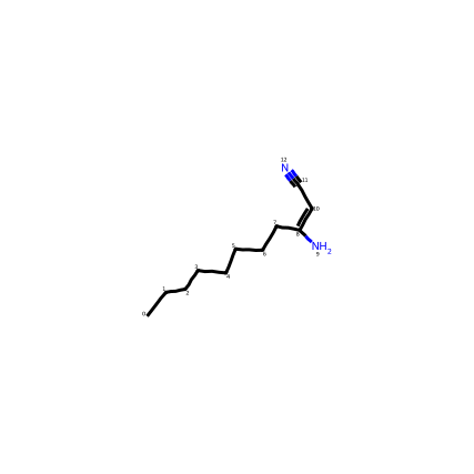 CCCCCCCC/C(N)=C\C#N